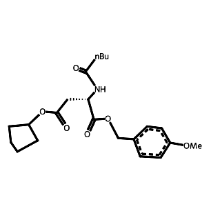 CCCCC(=O)N[C@@H](CC(=O)OC1CCCC1)C(=O)OCc1ccc(OC)cc1